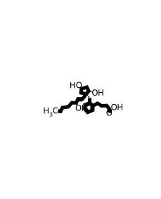 CCCCC[C@H](O)/C=C/[C@@]1(Cc2ccccc2CCCC(=O)O)C[C@@H](O)C[C@@H]1O